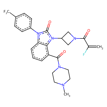 C=C(F)C(=O)N1CC(n2c(=O)n(-c3ccc(C(F)(F)F)cc3)c3cccc(C(=O)N4CCN(C)CC4)c32)C1